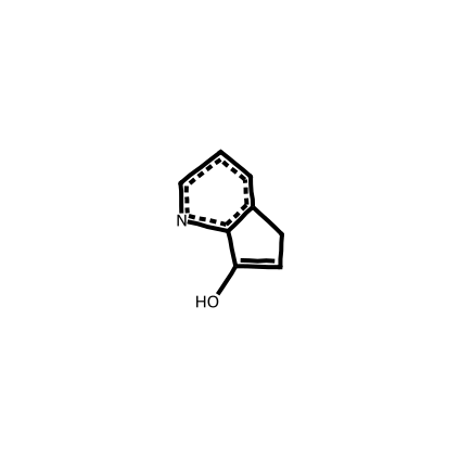 OC1=CCc2cccnc21